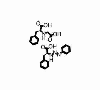 O=C(O)CN[C@@H](Cc1ccccc1)C(=O)O.O=C(O)[C@H](Cc1ccccc1)NN=Nc1ccccc1